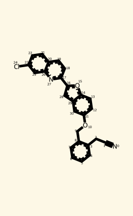 N#CCc1ccccc1COc1ccc2oc(-c3ccc4ccc(Cl)cc4n3)cc2c1